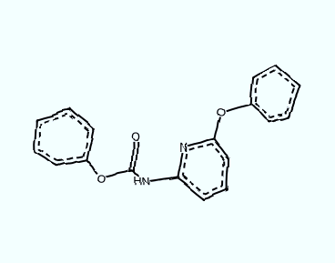 O=C(Nc1cccc(Oc2ccccc2)n1)Oc1ccccc1